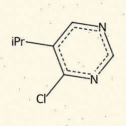 CC(C)c1cncnc1Cl